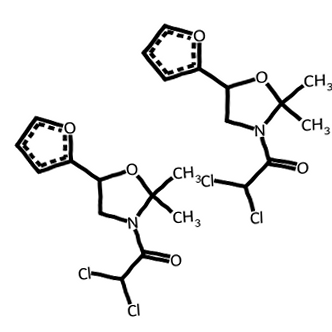 CC1(C)OC(c2ccco2)CN1C(=O)C(Cl)Cl.CC1(C)OC(c2ccco2)CN1C(=O)C(Cl)Cl